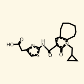 O=C(O)Cc1csc(NC(=O)c2cc3c(n(CC4CC4)c2=O)CCCCCC3)n1